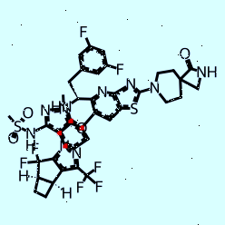 Cn1nc(NS(C)(=O)=O)c2cccc(-c3cc4sc(N5CCC6(CC5)CNC6=O)nc4nc3[C@H](Cc3cc(F)cc(F)c3)NC(=O)Cn3nc(C(F)(F)F)c4c3C(F)(F)[C@@H]3CC[C@H]43)c21